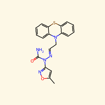 Cc1cc(N(N=CCN2c3ccccc3Sc3ccccc32)C(N)=O)no1